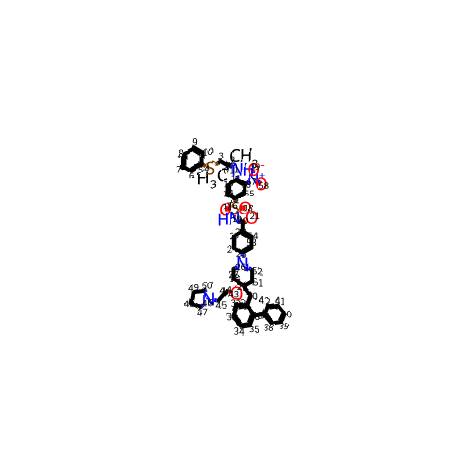 CC(C)(CSc1ccccc1)Nc1ccc(S(=O)(=O)NC(=O)c2ccc(N3CCC(Cc4ccccc4-c4ccccc4)(OCCN4CCCC4)CC3)cc2)cc1[N+](=O)[O-]